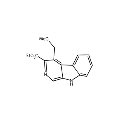 CCOC(=O)c1ncc2[nH]c3ccccc3c2c1COC